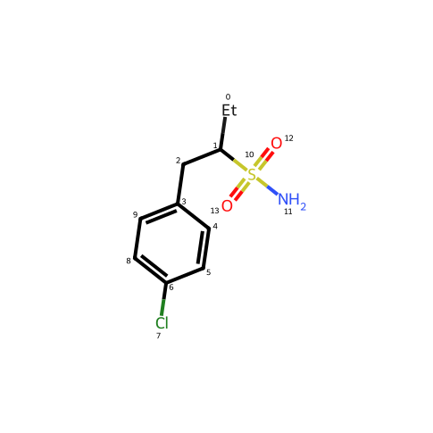 [CH2]CC(Cc1ccc(Cl)cc1)S(N)(=O)=O